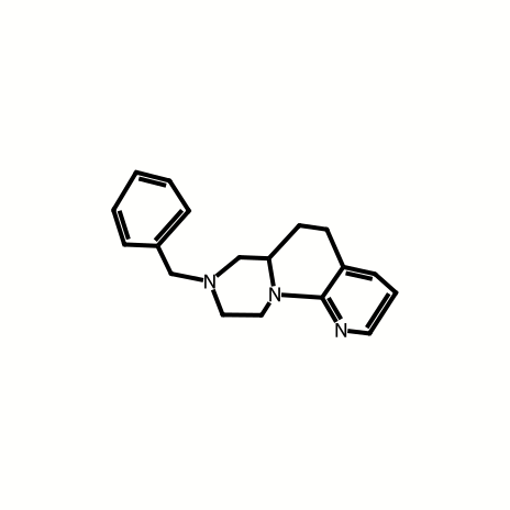 c1ccc(CN2CCN3c4ncccc4CCC3C2)cc1